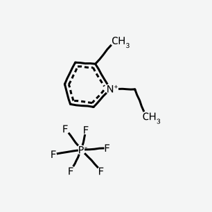 CC[n+]1ccccc1C.F[P-](F)(F)(F)(F)F